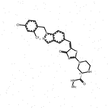 CC(C)(C)NC(=O)[C@@H]1CN(C2=NC(=O)C(=Cc3ccc4c(cnn4Cc4ccc(Cl)cc4C(F)(F)F)c3)S2)CCN1